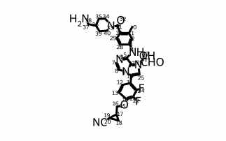 Cc1cc(Nc2nccn3c(-c4ccc(OCC5CC5C#N)c(F)c4F)cnc23)ccc1C(=O)N1CCC(CN)CC1.O=CO